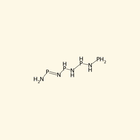 NP=NPNPNP